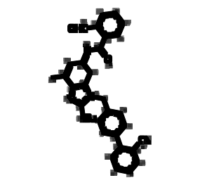 CCCCc1nc2c(n1Cc1ccc(-c3ccccc3C#N)cc1)CC(=NC(=O)c1ccccc1C=O)C=C2C